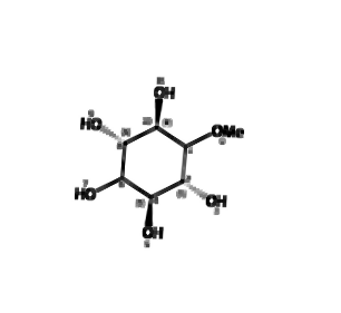 COC1[C@H](O)[C@@H](O)C(O)[C@H](O)[C@H]1O